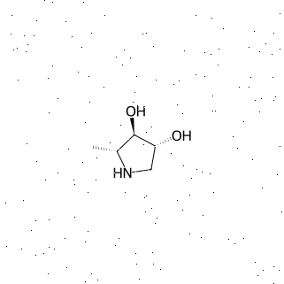 C[C@H]1NC[C@@H](O)[C@@H]1O